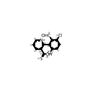 O=Cc1c(Cl)ccc(Cl)c1-c1ncccc1C(O)=S